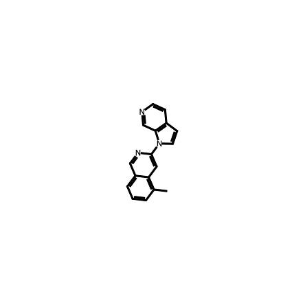 Cc1cccc2cnc(-n3ccc4ccncc43)cc12